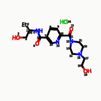 CC[C@H](CO)NC(=O)c1ccc(C(=O)N2CCN(CCO)CC2)nc1.Cl